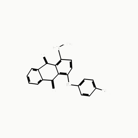 CCCCNc1ccc(Nc2ccc(N)cc2)c2c1C(=O)c1ccccc1C2=O